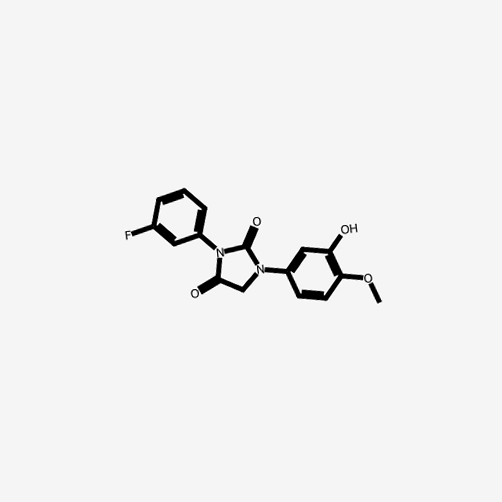 COc1ccc(N2CC(=O)N(c3cccc(F)c3)C2=O)cc1O